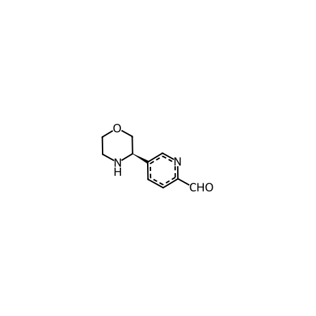 O=Cc1ccc([C@@H]2COCCN2)cn1